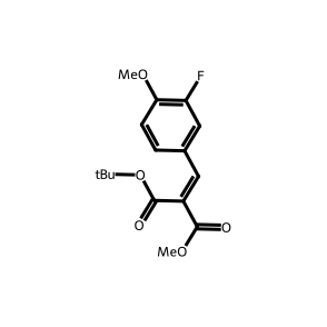 COC(=O)C(=Cc1ccc(OC)c(F)c1)C(=O)OC(C)(C)C